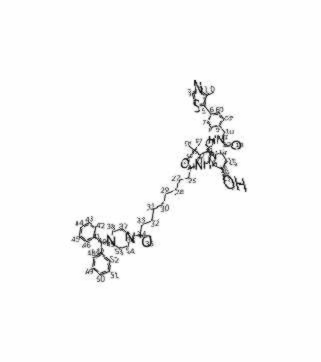 Cc1ncsc1-c1ccc(CNC(=O)[C@@H]2C[C@@H](O)CN2C(=O)[C@@H](NC(=O)CCCCCCCCC(=O)N2CCN(C(c3ccccc3)c3ccccc3)CC2)C(C)(C)C)cc1